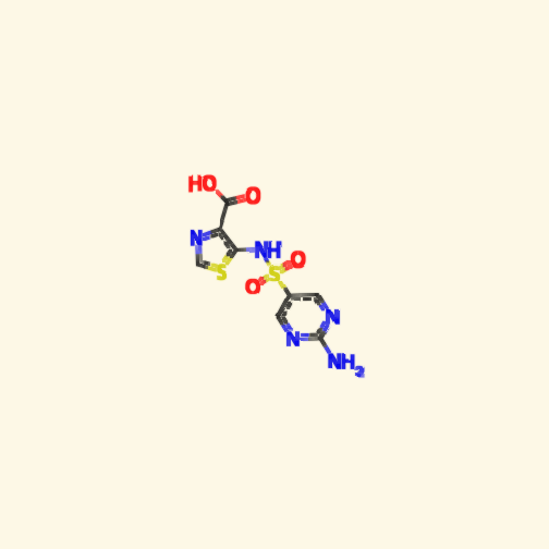 Nc1ncc(S(=O)(=O)Nc2scnc2C(=O)O)cn1